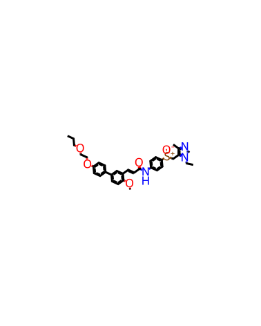 CCCOCCOc1ccc(-c2ccc(OC)c(/C=C/C(=O)Nc3ccc([S@+]([O-])Cc4c(C)ncn4CC)cc3)c2)cc1